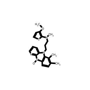 COc1ccsc1N(C)CCCN1c2cccnc2[S+]([O-])c2ccc(C)c(C)c21